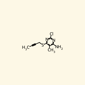 CC#CCSc1nc(Cl)nc(N)c1C